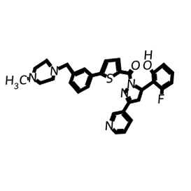 CN1CCN(Cc2cccc(-c3ccc(C(=O)N4N=C(c5cccnc5)CC4c4c(O)cccc4F)s3)c2)CC1